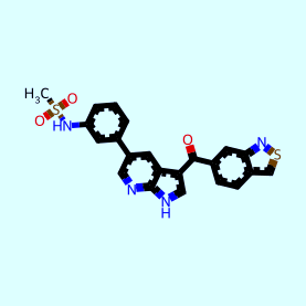 CS(=O)(=O)Nc1cccc(-c2cnc3[nH]cc(C(=O)c4ccc5csnc5c4)c3c2)c1